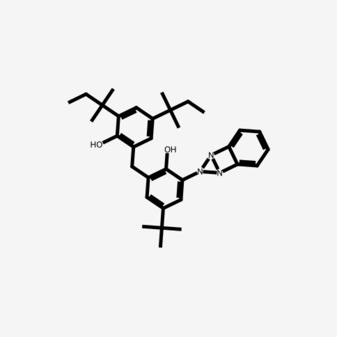 CCC(C)(C)c1cc(Cc2cc(C(C)(C)C)cc(-n3n4c5ccccc5n34)c2O)c(O)c(C(C)(C)CC)c1